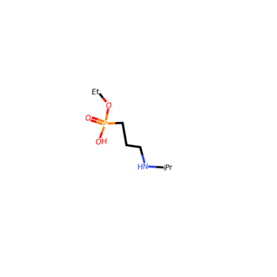 CCOP(=O)(O)CCCNC(C)C